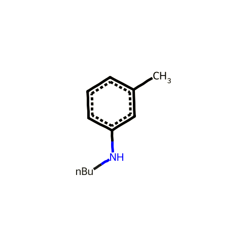 CCCCNc1cccc(C)c1